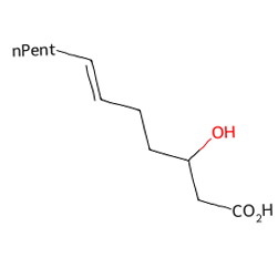 CCCCC/C=C/CCC(O)CC(=O)O